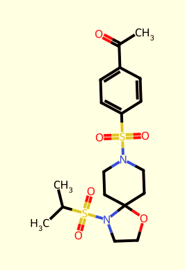 CC(=O)c1ccc(S(=O)(=O)N2CCC3(CC2)OCCN3S(=O)(=O)C(C)C)cc1